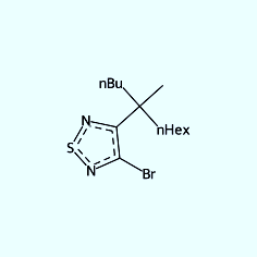 CCCCCCC(C)(CCCC)c1nsnc1Br